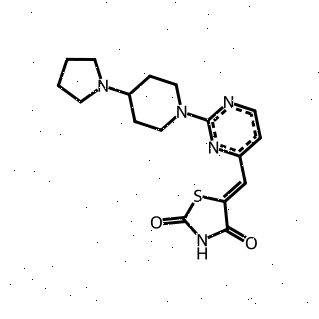 O=C1NC(=O)C(=Cc2ccnc(N3CCC(N4CCCC4)CC3)n2)S1